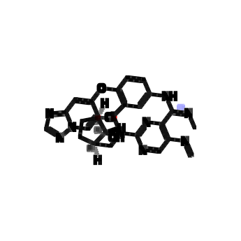 C=Nc1cnc(N2C[C@H]3CC[C@@H](C2)[C@@H]3O)nc1/C(=N\C)Nc1ccc(Oc2ccn3ncnc3c2)c(Cl)c1